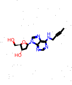 CC#CCNc1ncnc2c1ncn2[C@H]1C[C@H](O)[C@@H](CO)O1